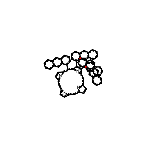 C1=Cc2cc3c(-c4cccc5cc6ccccc6cc45)c(-c4cccc5cc6ccccc6cc45)c(c(-c4cccc5cc6ccccc6cc45)c4nc(cc5ccc(cc1n2)[nH]5)C=C4)n3-c1cccc2cc3ccccc3cc12